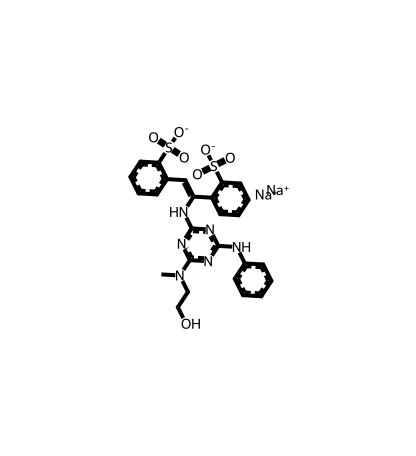 CN(CCO)c1nc(NC(=Cc2ccccc2S(=O)(=O)[O-])c2ccccc2S(=O)(=O)[O-])nc(Nc2ccccc2)n1.[Na+].[Na+]